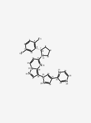 Fc1ccc(F)c([C@@H]2CCCN2c2ccn3ncc(-n4cc(-c5cnccn5)cn4)c3n2)c1